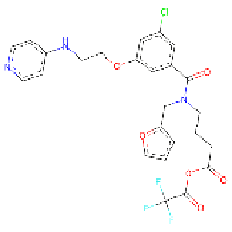 O=C(CCCN(Cc1ccco1)C(=O)c1cc(Cl)cc(OCCNc2ccncc2)c1)OC(=O)C(F)(F)F